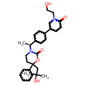 C[C@@H](c1ccc(-c2ccc(=O)n(CCO)c2)cc1)N1CCC(CC(C)(C)O)(c2ccccc2)OC1=O